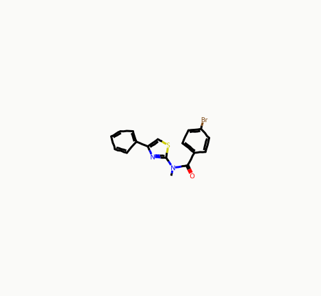 CN(C(=O)c1ccc(Br)cc1)c1nc(-c2ccccc2)cs1